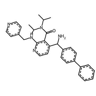 CC(C)N(C(=O)c1c(C(N)c2ccc(-c3ccccc3)cc2)ccnc1NCc1ccncc1)C(C)C